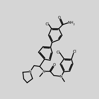 CN(CC(=O)N(C)C(CN1CCCC1)c1ccc(-c2ccc(C(N)=O)c(Cl)c2)cc1)c1ccc(Cl)c(Cl)c1